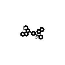 O=P(c1ccccc1)(c1ccc(-c2cc3cccnc3c3c2ccc2ccccc23)cc1)c1ccc2ccccc2c1